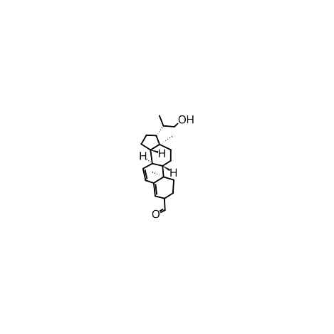 CC(CO)[C@H]1CC[C@H]2[C@@H]3C=CC4=CC(C=O)CC[C@]4(C)[C@H]3CC[C@]12C